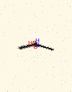 CCCCCCCCCCCCNC(=O)C(C)(O)CCCCCCCCCCCC